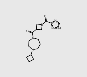 O=C(c1nc[nH]n1)N1CC(C(=O)N2CCCN(C3CCC3)CC2)C1